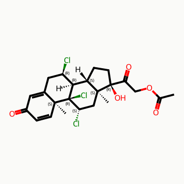 CC(=O)OCC(=O)[C@@]1(O)CC[C@H]2[C@@H]3[C@H](Cl)CC4=CC(=O)C=C[C@]4(C)[C@@]3(Cl)[C@@H](Cl)C[C@@]21C